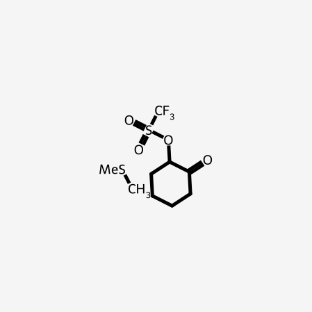 CSC.O=C1CCCCC1OS(=O)(=O)C(F)(F)F